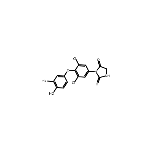 CC(C)(C)c1cc(Oc2c(Cl)cc(N3C(=O)CNC3=O)cc2Cl)ccc1O